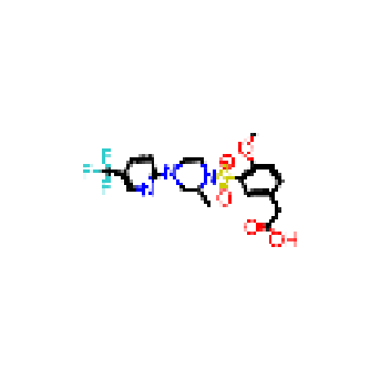 COc1ccc(CC(=O)O)cc1S(=O)(=O)N1CCN(c2ccc(C(F)(F)F)cn2)CC1C